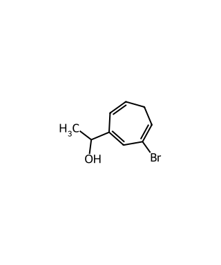 CC(O)C1=CC(Br)=CCC=C1